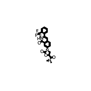 CN(C)C(=O)C1CN(c2ccc3cc(-c4ccccc4C(F)(F)F)[nH]c(=O)c3c2)C(=O)O1